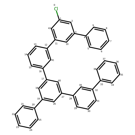 Clc1cc(-c2ccccc2)cc(-c2cccc(-c3cc(-c4ccccc4)cc(-c4cccc(-c5ccccc5)c4)c3)c2)c1